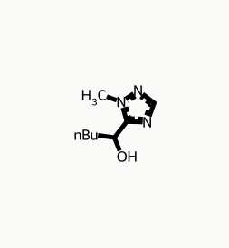 CCCCC(O)c1ncnn1C